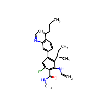 C=CNc1c(C(=O)NC)c(F)cc(-c2ccc(CCCC)c(/N=C\C)c2)c1[C@H](C)CC